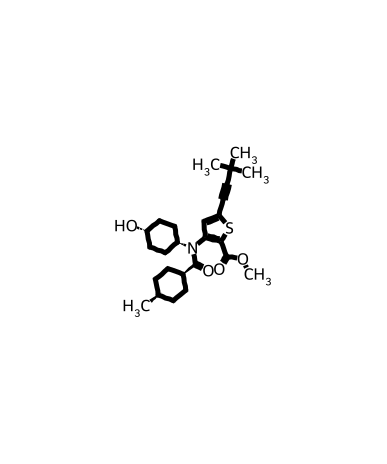 COC(=O)c1sc(C#CC(C)(C)C)cc1N(C(=O)[C@H]1CC[C@@H](C)CC1)[C@H]1CC[C@@H](O)CC1